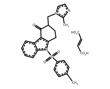 Cc1ccc(S(=O)(=O)n2c3c(c4ccccc42)C(=O)C(Cn2ccnc2C)CC3)cc1.O=C(O)C=CC(=O)O